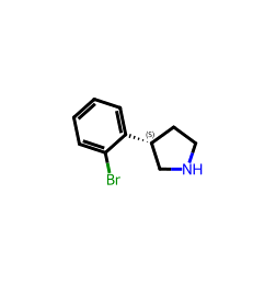 Brc1ccccc1[C@@H]1CCNC1